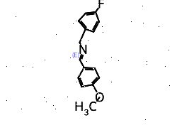 COc1ccc(/C=N/Cc2ccc(F)cc2)cc1